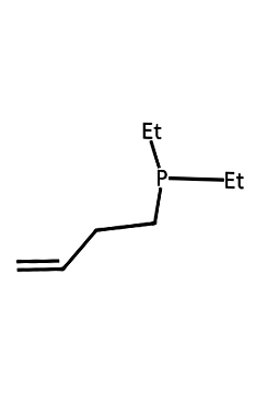 C=CCCP(CC)CC